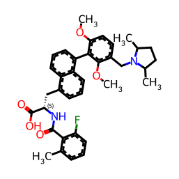 COc1ccc(CN2C(C)CCC2C)c(OC)c1-c1cccc2c(C[C@H](NC(=O)c3c(C)cccc3F)C(=O)O)cccc12